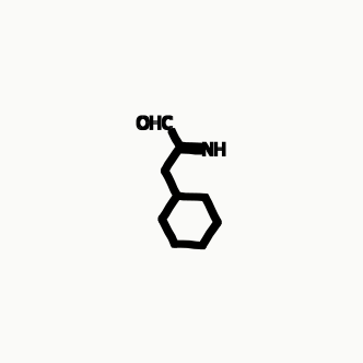 N=C(C=O)CC1CCCCC1